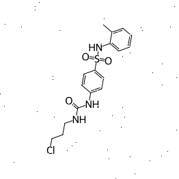 Cc1ccccc1NS(=O)(=O)c1ccc(NC(=O)NCCCCl)cc1